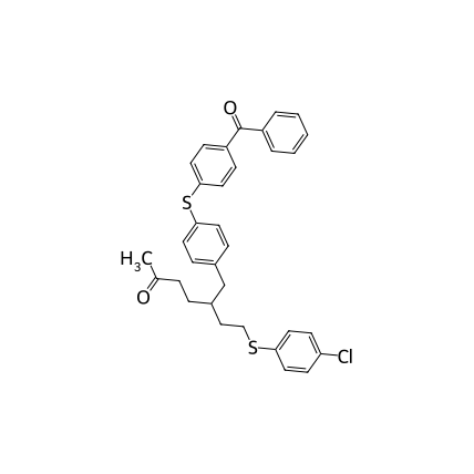 CC(=O)CCC(CCSc1ccc(Cl)cc1)Cc1ccc(Sc2ccc(C(=O)c3ccccc3)cc2)cc1